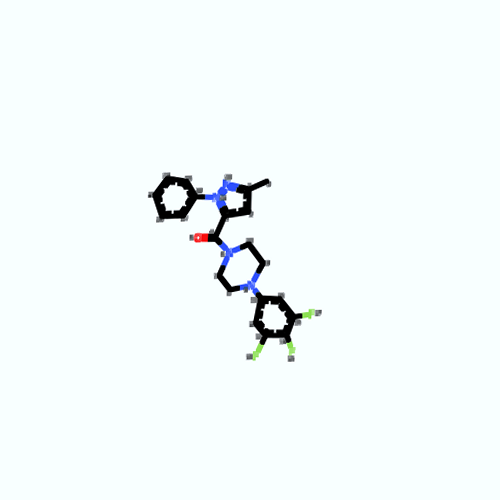 Cc1cc(C(=O)N2CCN(c3cc(F)c(F)c(F)c3)CC2)n(-c2ccccc2)n1